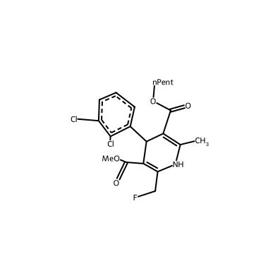 CCCCCOC(=O)C1=C(C)NC(CF)=C(C(=O)OC)C1c1cccc(Cl)c1Cl